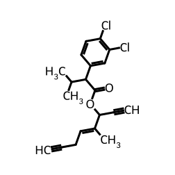 C#CCC=C(C)C(C#C)OC(=O)C(c1ccc(Cl)c(Cl)c1)C(C)C